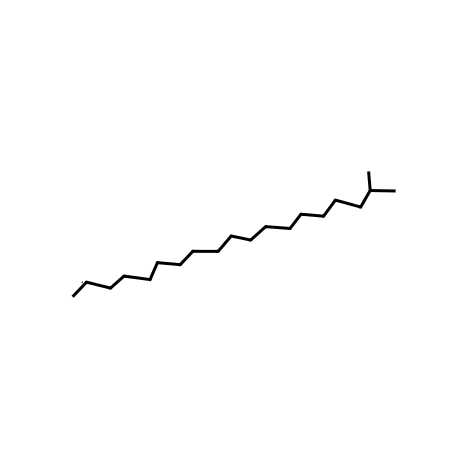 C[CH]CCCCCCCCCCCCCCCC(C)C